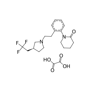 O=C(O)C(=O)O.O=C1CCCCN1c1ccccc1CCN1CC[C@@H](CC(F)(F)F)C1